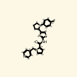 O=C(Nc1nc(C2CCCN2c2ccc(F)cc2)cs1)c1cccn1Cc1ccncc1